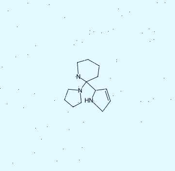 C1=CC(C2(N3CCCC3)CCCC[N]2)NC1